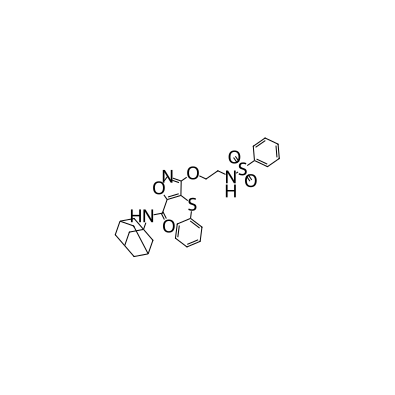 O=C(NC12CC3CC(CC(C3)C1)C2)c1onc(OCCNS(=O)(=O)c2ccccc2)c1Sc1ccccc1